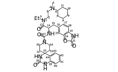 CCN(CCN(C)C1CCCCC1)C(=O)C(Cc1ccc2[nH]c(=O)oc2c1)NC(=O)N1CCC2(CC1)NC(=O)Nc1ccccc12